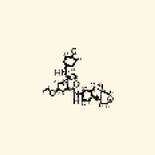 CCO[C@@H]1C[C@H](C(=O)Nc2ccc(N3CCOCC3=O)c(C)c2)N(C(=O)Nc2ccc(Cl)cc2)C1